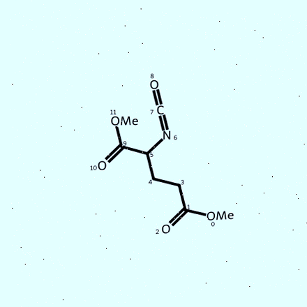 COC(=O)CCC(N=C=O)C(=O)OC